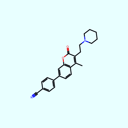 Cc1c(CCN2CCCCC2)c(=O)oc2cc(-c3ccc(C#N)cc3)ccc12